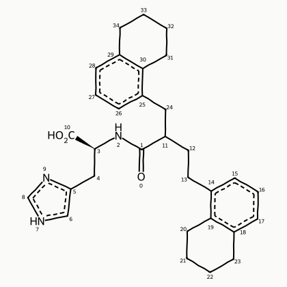 O=C(N[C@@H](Cc1c[nH]cn1)C(=O)O)C(CCc1cccc2c1CCCC2)Cc1cccc2c1CCCC2